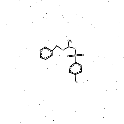 Cc1ccc(S(=O)(=O)OC(C)OCc2ccccc2)cc1